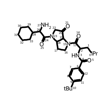 CC(C)CC(NC(=O)c1ccc(C(C)(C)C)cc1)C(=O)N1CCC2C1C(=O)CN2C(=O)C(N)C1CCCCC1